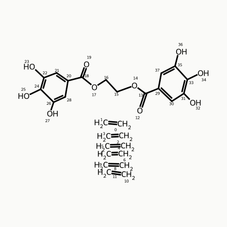 C=C.C=C.C=C.C=C.C=C.C=C.O=C(OCCOC(=O)c1cc(O)c(O)c(O)c1)c1cc(O)c(O)c(O)c1